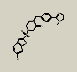 CN1CCN=C1c1ccc(CN2CCN(S(=O)(=O)c3cc4ccc(Cl)cc4s3)CC2=O)cc1